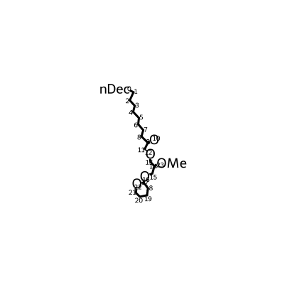 CCCCCCCCCCCCCCCCCCC(=O)COCC(COC1CCCCO1)OC